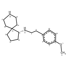 COc1ccc(CCN[C@@H]2CCCC23CCNCC3)cc1